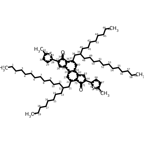 CCCCCCCCCCCCC(CCCCCCCC)Cc1cc2c3cc(-c4ccc(C)s4)c(=O)c3c(CC(CCCCCCCC)CCCCCCCCCCCC)cc2c2cc(-c3ccc(C)s3)c(=O)c12